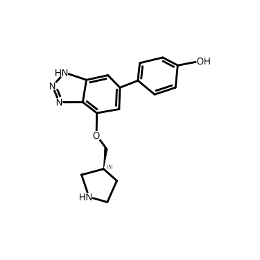 Oc1ccc(-c2cc(OC[C@H]3CCNC3)c3nn[nH]c3c2)cc1